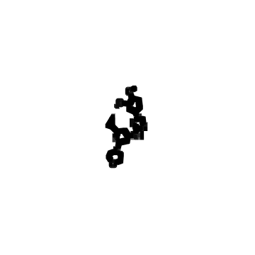 COc1ccc(-n2cnc(Nc3cc(C4CC4)nc(N4CCOCC4)c3)n2)cc1OC